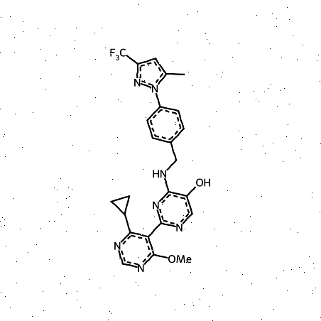 COc1ncnc(C2CC2)c1-c1ncc(O)c(NCc2ccc(-n3nc(C(F)(F)F)cc3C)cc2)n1